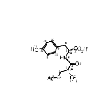 CC(=O)SC[C@H](C(=O)N[C@@H](Cc1ccc(O)cc1)C(=O)O)C(F)(F)F